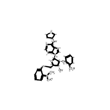 CN(C=O)c1ccccc1SC[C@H]1O[C@@H](n2cnc3c(N[C@@H]4CCOC4)ncnc32)[C@H](O)[C@@H]1O.O=C(O)c1ccccc1